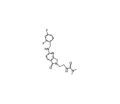 CN(C)C(=O)NCCN1Cc2nc(NCc3ccc(F)cc3F)ccc2C1=O